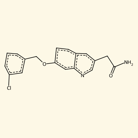 NC(=O)Cc1cnc2cc(OCc3cccc(Cl)c3)ccc2c1